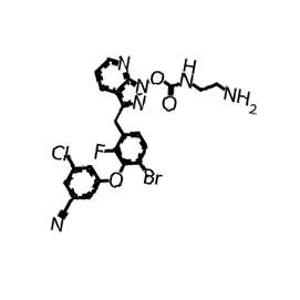 N#Cc1cc(Cl)cc(Oc2c(Br)ccc(Cc3nn(OC(=O)NCCN)c4ncccc34)c2F)c1